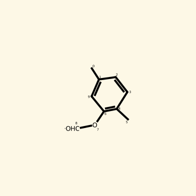 Cc1ccc(C)c(O[C]=O)c1